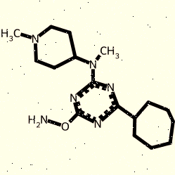 CN1CCC(N(C)c2nc(ON)nc(C3CCCCCC3)n2)CC1